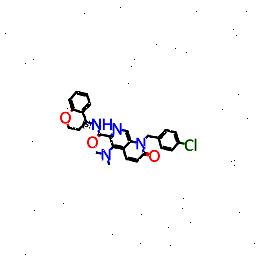 CN(C)c1c(C(=O)N[C@H]2CCOc3ccccc32)ncc2c1ccc(=O)n2Cc1ccc(Cl)cc1